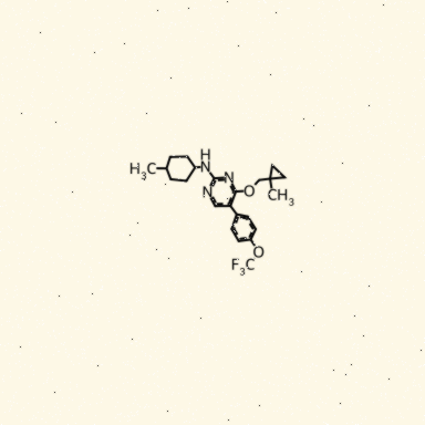 CC1CCC(Nc2ncc(-c3ccc(OC(F)(F)F)cc3)c(OCC3(C)CC3)n2)CC1